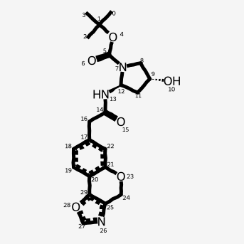 CC(C)(C)OC(=O)N1C[C@H](O)C[C@H]1NC(=O)Cc1ccc2c(c1)OCc1ncoc1-2